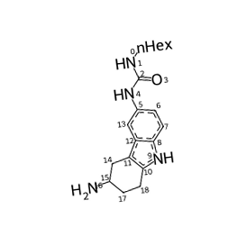 CCCCCCNC(=O)Nc1ccc2[nH]c3c(c2c1)CC(N)CC3